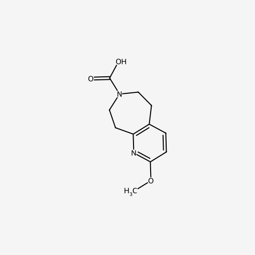 COc1ccc2c(n1)CCN(C(=O)O)CC2